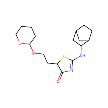 O=C1N=C(NC2CC3CCC2C3)SC1CCOC1CCCCO1